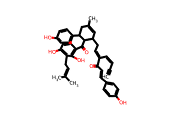 C#C/C=C\C(=C/CC1C=C(C)CC(c2ccc(O)cc2)C1C(=O)c1ccc(O)c(CC=C(C)C)c1O)C(=O)/C=C/c1ccc(O)cc1